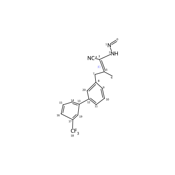 C=NN/C(C#N)=C(\C)Cc1cccc(-c2cccc(C(F)(F)F)c2)c1